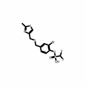 Cc1nc(CSCc2ccc(OP(=O)(O)C(F)F)c(Br)c2)cs1